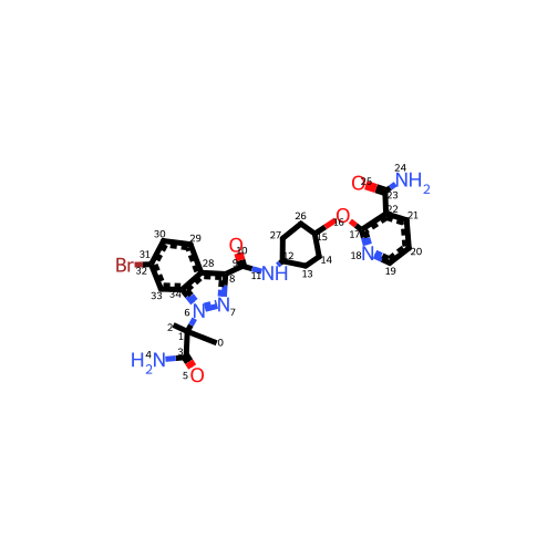 CC(C)(C(N)=O)n1nc(C(=O)NC2CCC(Oc3ncccc3C(N)=O)CC2)c2ccc(Br)cc21